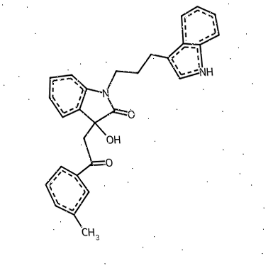 Cc1cccc(C(=O)CC2(O)C(=O)N(CCCc3c[nH]c4ccccc34)c3ccccc32)c1